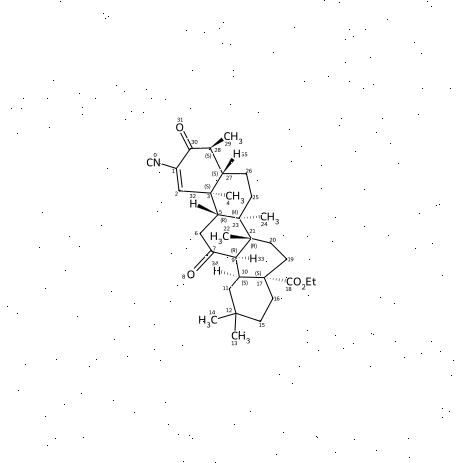 [C-]#[N+]C1=C[C@]2(C)[C@H]3CC(=O)[C@@H]4[C@@H]5CC(C)(C)CC[C@]5(C(=O)OCC)CC[C@@]4(C)[C@]3(C)CC[C@H]2[C@H](C)C1=O